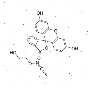 O=C1OC2(c3ccc(O)cc3Oc3cc(O)ccc32)c2ccccc21.OCCON=C=S